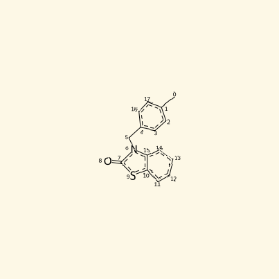 Cc1ccc(Cn2c(=O)sc3ccccc32)cc1